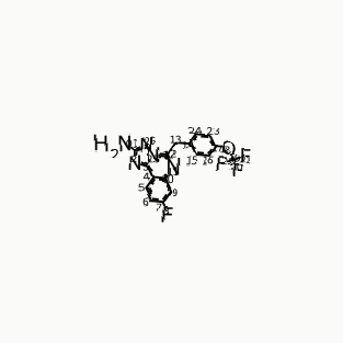 Nc1nc2c3ccc(F)cc3nc(Cc3ccc(OC(F)(F)F)cc3)n2n1